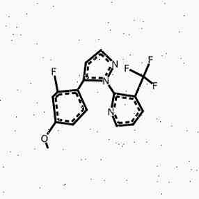 COc1ccc(-c2ccnn2-c2ncccc2C(F)(F)F)c(F)c1